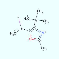 Cc1nc(C(C)(C)C)c(C(C)I)o1